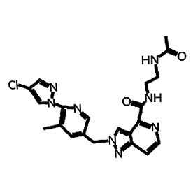 CC(=O)NCCNC(=O)c1nccc2nn(Cc3cnc(-n4cc(Cl)cn4)c(C)c3)cc12